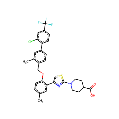 Cc1ccc(OCc2ccc(-c3ccc(C(F)(F)F)cc3Cl)cc2C)c(-c2csc(N3CCC(C(=O)O)CC3)n2)c1